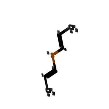 FC(F)(F)/C=C/S/C=C/C(F)(F)F